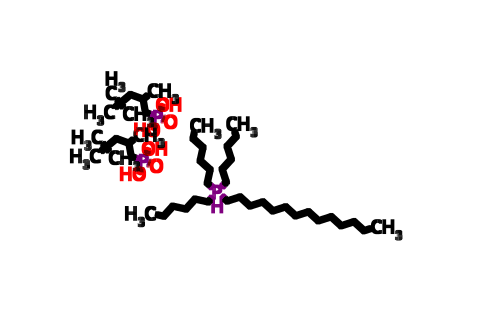 CC(CC(C)(C)C)CP(=O)(O)O.CC(CC(C)(C)C)CP(=O)(O)O.CCCCCCCCCCCCCC[PH](CCCCCC)(CCCCCC)CCCCCC